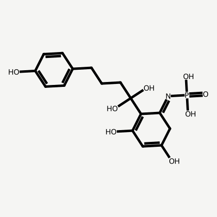 O=P(O)(O)N=C1CC(O)=CC(O)=C1C(O)(O)CCCc1ccc(O)cc1